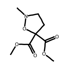 COC(=O)C1(C(=O)OC)CCN(C)O1